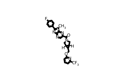 Cn1c(-c2ccc(F)cc2)nc2ncc(C(=O)N3C[C@@H]4C(COc5cccc(C(F)(F)F)n5)[C@@H]4C3)nc21